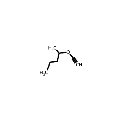 C#COC(C)CCC